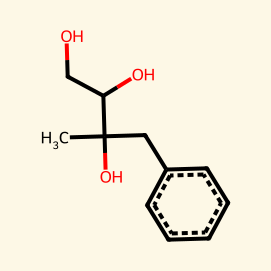 CC(O)(Cc1ccccc1)C(O)CO